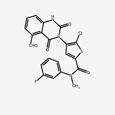 CN(C(=O)c1cc(-n2c(=O)[nH]c3cccc(C=O)c3c2=O)c(Cl)s1)c1cccc(F)c1